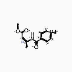 COC(=O)/C=C(/C)NC(=O)c1ccc(F)cc1